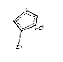 Cl.[Zn][c]1ccsc1